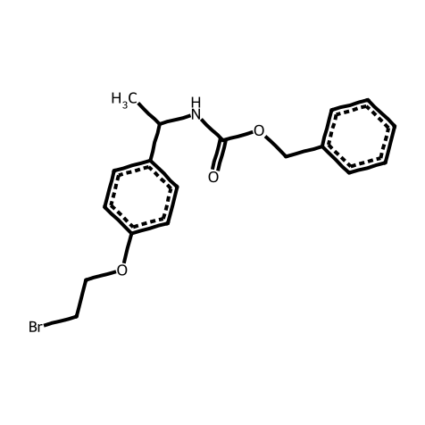 CC(NC(=O)OCc1ccccc1)c1ccc(OCCBr)cc1